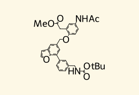 COC(=O)Cc1cc(NC(C)=O)ccc1OCc1cc(-c2cccc(CNC(=O)OC(C)(C)C)c2)c2occc2c1